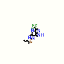 CCCC(C)Sc1ncc(C#N)c(-c2c[nH]c3ncc(C(F)(F)F)cc23)n1